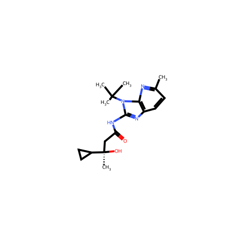 Cc1ccc2nc(NC(=O)C[C@@](C)(O)C3CC3)n(C(C)(C)C)c2n1